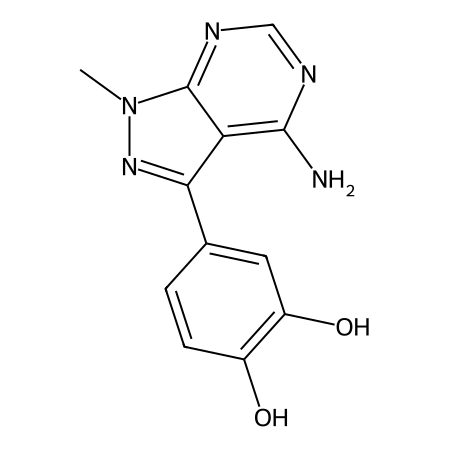 Cn1nc(-c2ccc(O)c(O)c2)c2c(N)ncnc21